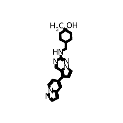 CC1(O)CCC(CNc2ncc3c(-c4ccn5nccc5c4)ccn3n2)CC1